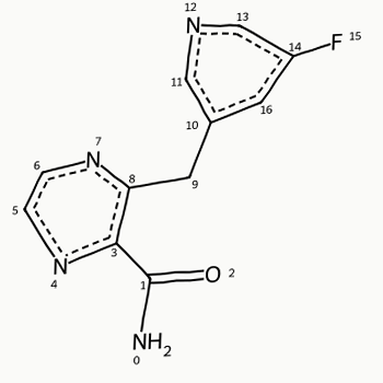 NC(=O)c1nccnc1Cc1cncc(F)c1